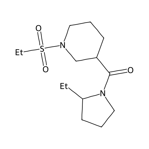 CCC1CCCN1C(=O)C1CCCN(S(=O)(=O)CC)C1